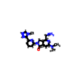 CCn1cnnc1-c1cccc(N2Cc3c(cc(N(C)C(C)C)nc3CN)C2=O)n1